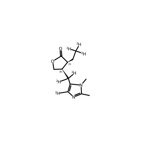 [2H]c1nc(C)n(C)c1C([2H])([2H])[C@H]1COC(=O)[C@H]1CC([2H])([2H])[2H]